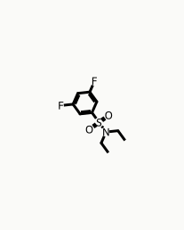 CCN(CC)S(=O)(=O)c1cc(F)cc(F)c1